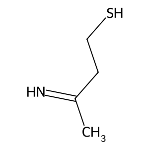 CC(=N)CCS